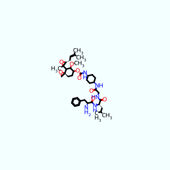 COC1C(OC(=O)N[C@H]2CC[C@H](NC(=O)CNC(=O)[C@H](CC(C)C)NC(=O)[C@@H](N)Cc3ccccc3)CC2)CC[C@]2(CO2)C1C1(C)O[C@@H]1CC=C(C)C